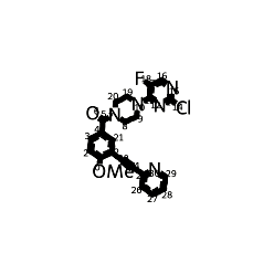 COc1ccc(C(=O)N2CCN(c3nc(Cl)ncc3F)CC2)cc1C#Cc1ccccn1